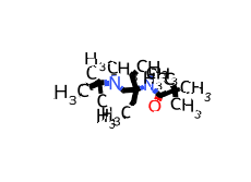 CCC(CC)(CN(C)C(C)(C)C)N(C)C(=O)C(C)(C)C